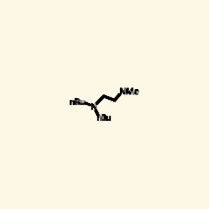 CCCCN(CCCC)CCNC